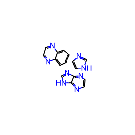 c1c[nH]cn1.c1ccc2nccnc2c1.c1cnc2[nH]cnc2n1